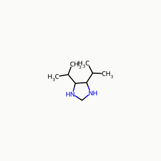 CC(C)C1NCNC1C(C)C